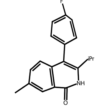 Cc1ccc2c(-c3ccc(F)cc3)c(C(C)C)[nH]c(=O)c2c1